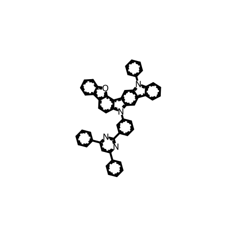 c1ccc(-c2cc(-c3ccccc3)nc(-c3cccc(-n4c5cc6c7ccccc7n(-c7ccccc7)c6cc5c5c6oc7ccccc7c6ccc54)c3)n2)cc1